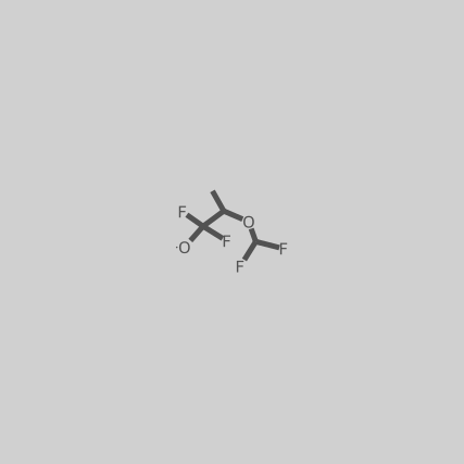 CC(OC(F)F)C([O])(F)F